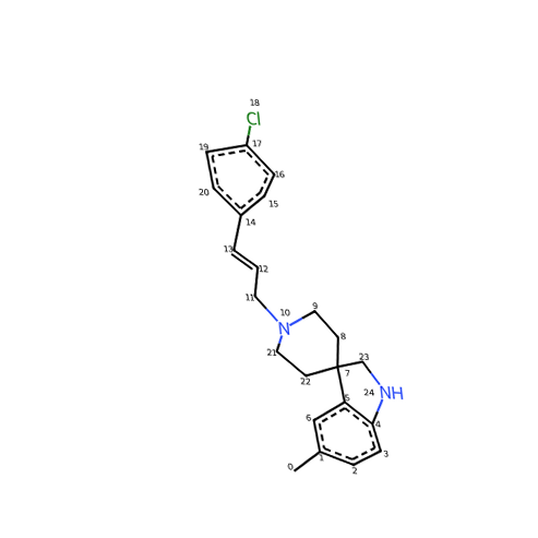 Cc1ccc2c(c1)C1(CCN(CC=Cc3ccc(Cl)cc3)CC1)CN2